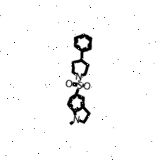 CN1CCc2cc(S(=O)(=O)N3CCC(c4ccccc4)CC3)ccc21